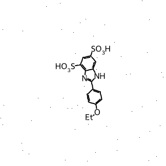 CCOc1ccc(-c2nc3c(S(=O)(=O)O)cc(S(=O)(=O)O)cc3[nH]2)cc1